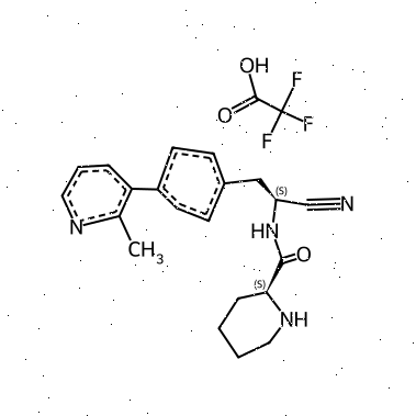 Cc1ncccc1-c1ccc(C[C@@H](C#N)NC(=O)[C@@H]2CCCCN2)cc1.O=C(O)C(F)(F)F